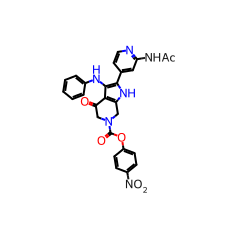 CC(=O)Nc1cc(-c2[nH]c3c(c2Nc2ccccc2)C(=O)CN(C(=O)Oc2ccc([N+](=O)[O-])cc2)C3)ccn1